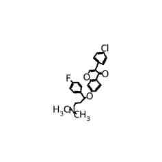 CN(C)CCC(Oc1ccc2c(=O)c(-c3ccc(Cl)cc3)coc2c1)c1ccc(F)cc1